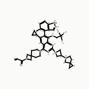 C=CC(=O)N1CC2(CCN(c3nc(N4CC(N5CCC6(CC6)C5)C4)nc4c(OCC(F)(F)F)c(-c5c(C)ccc6[nH]ncc56)c(C5CC5)cc34)CC2)C1